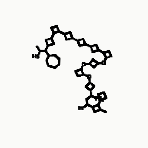 CCC(CC(P)C1CC(OC2CCC2OC2CC(OC3CCC3C3CC(C4CC(C5CC(C6CCC6C6CC(C(C(C)S)C7C=CCCCC7)C6)C5)C4)C3)C2)C1)C1CC(C)C1C1CCC1